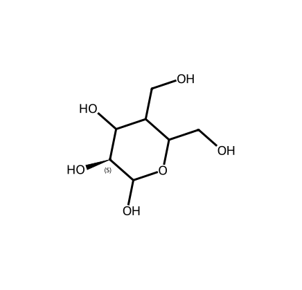 OCC1OC(O)[C@@H](O)C(O)C1CO